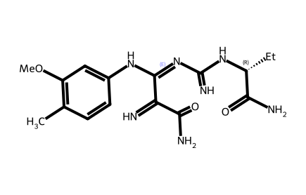 CC[C@@H](NC(=N)/N=C(/Nc1ccc(C)c(OC)c1)C(=N)C(N)=O)C(N)=O